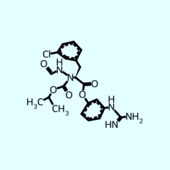 CC(C)OC(=O)N(NC=O)[C@@H](Cc1cccc(Cl)c1)C(=O)Oc1cccc(NC(=N)N)c1